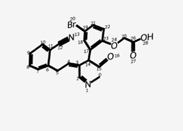 C/N=C\C(=C/Cc1ccccc1C#N)C(C=O)c1cc(Br)ccc1OCC(=O)O